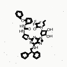 CCCN(C(=O)C(F)(F)F)[C@H]1C[C@@H](n2cnc3c(NCC(c4ccccc4)c4ccccc4)nc(N4CC[C@@H](NC(=O)Nc5ccccc5Oc5ccccc5)C4)nc32)[C@H](O)[C@@H]1O